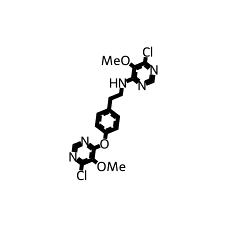 COc1c(Cl)ncnc1NCCc1ccc(Oc2ncnc(Cl)c2OC)cc1